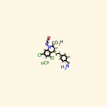 Cl.NCc1ccc(CC[C@H]2C[C@H](C(=O)O)N(N=C=O)c3cc(Cl)cc(Cl)c32)cc1